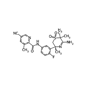 Cc1cc(C#N)cnc1C(=O)Nc1ccc(F)c([C@]2(C)CS(=O)(=O)C(C)(C)C(N)=N2)c1